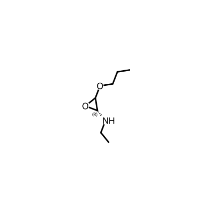 CCCOC1O[C@H]1NCC